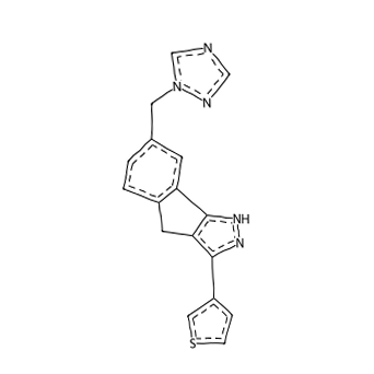 c1ncn(Cc2ccc3c(c2)-c2[nH]nc(-c4ccsc4)c2C3)n1